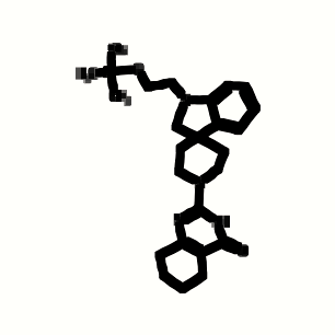 CC(C)(C)[Si](C)(C)OCCN1CC2(CCN(c3nc4c(c(=O)[nH]3)CCCC4)CC2)c2ccccc21